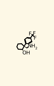 NC[C@]1(c2ccc(C(F)(F)F)cc2)CCCC[C@@H]1O